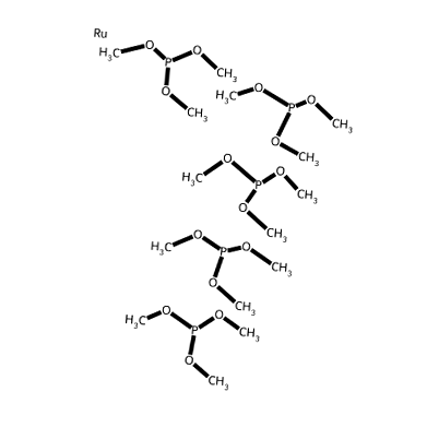 COP(OC)OC.COP(OC)OC.COP(OC)OC.COP(OC)OC.COP(OC)OC.[Ru]